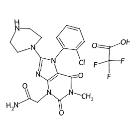 Cn1c(=O)c2c(nc(N3CCNCC3)n2-c2ccccc2Cl)n(CC(N)=O)c1=O.O=C(O)C(F)(F)F